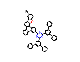 CC(C)c1ccc2oc3c(ccc4c5ccccc5c5cc(-c6nc(-c7cc(-c8ccccc8)cc(-c8ccccc8)c7)nc(-c7cc(-c8ccccc8)cc(-c8ccccc8)c7)n6)ccc5c43)c2c1